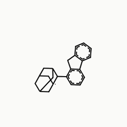 c1ccc2c(c1)Cc1c-2cccc1C1[C]2CC3CC(C2)CC1C3